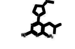 CN[C@@H]1CCN(c2nc(N)nc(N)c2CC(C)C)C1